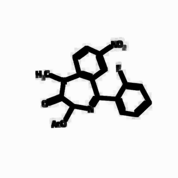 CC(=O)OC1N=C(c2ccccc2F)c2cc([N+](=O)[O-])ccc2N(C)C1=O